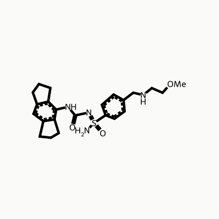 COCCNCc1ccc(S(N)(=O)=NC(=O)Nc2c3c(cc4c2CCC4)CCC3)cc1